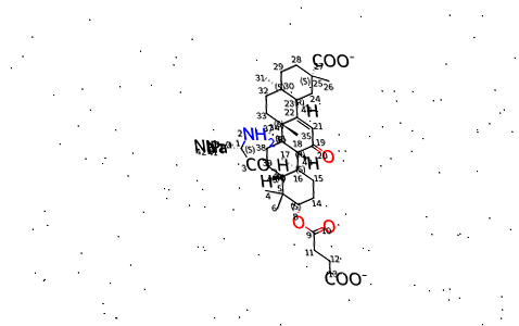 CC(C)[C@H](N)C(=O)O.CC1(C)[C@@H](OC(=O)CCC(=O)[O-])CC[C@]2(C)[C@H]3C(=O)C=C4[C@@H]5C[C@@](C)(C(=O)[O-])CC[C@]5(C)CC[C@@]4(C)[C@]3(C)CC[C@@H]12.[Na+].[Na+]